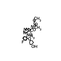 COCCS(C)(=O)=NC(=O)c1cn2ncnc(Nc3ccc(F)cc3O[C@H]3CC[C@H](O)CC3)c2c1C